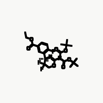 CCOC(=O)c1ccc(F)c([C@@]2(C)N=C(N(C(=O)OC(C)(C)C)C(=O)OC(C)(C)C)OCC2(F)F)c1